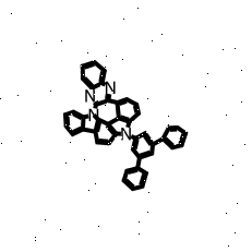 c1ccc(-c2cc(-c3ccccc3)cc(-n3c4cccc5c6nc7ccccc7nc6n6c7ccccc7c7ccc3c(c54)c76)c2)cc1